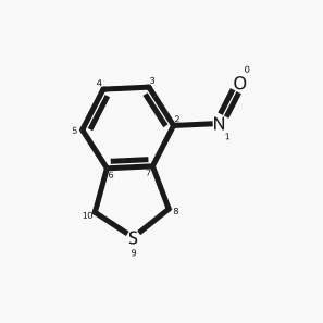 O=Nc1cccc2c1CSC2